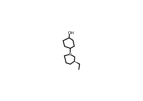 CC[C@H]1CCCN(C2CCC(O)CC2)C1